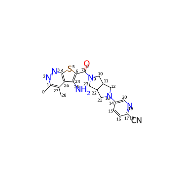 Cc1nnc2sc(C(=O)N3CC4CN(c5ccc(C#N)nc5)CC4C3)c(N)c2c1C